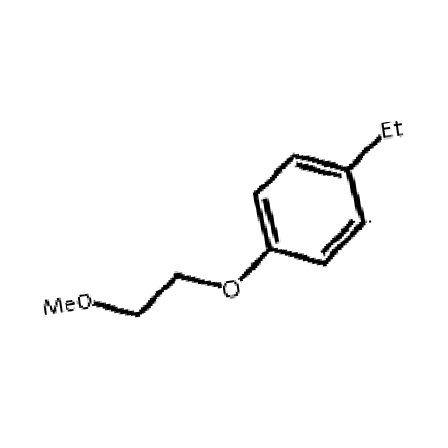 CCc1[c]cc(OCCOC)cc1